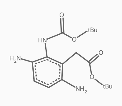 CC(C)(C)OC(=O)Cc1c(N)ccc(N)c1NC(=O)OC(C)(C)C